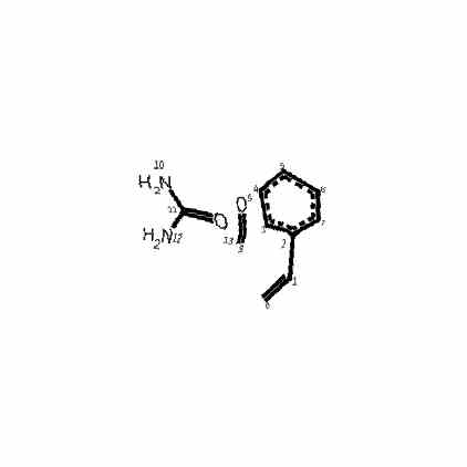 C=Cc1ccccc1.C=O.NC(N)=O